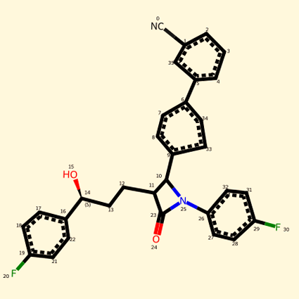 N#Cc1cccc(-c2ccc(C3C(CC[C@H](O)c4ccc(F)cc4)C(=O)N3c3ccc(F)cc3)cc2)c1